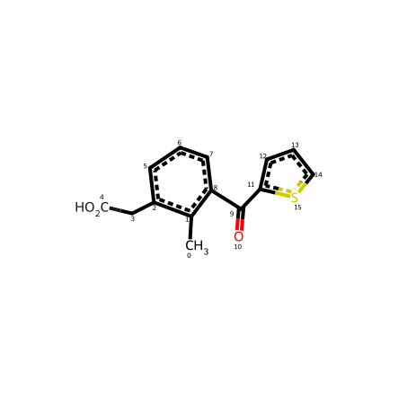 Cc1c(CC(=O)O)cccc1C(=O)c1cccs1